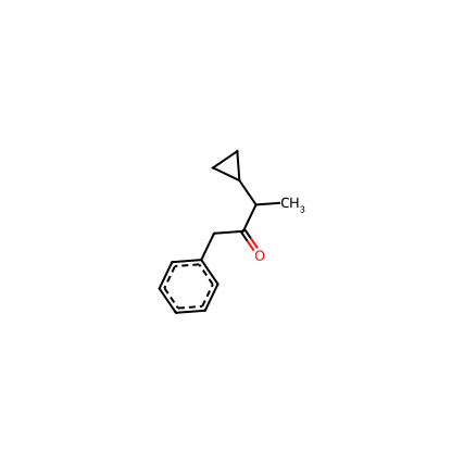 CC(C(=O)Cc1ccccc1)C1CC1